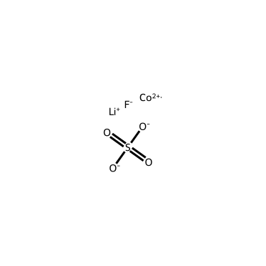 O=S(=O)([O-])[O-].[Co+2].[F-].[Li+]